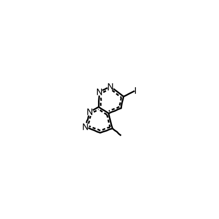 Cc1cnnc2nnc(I)cc12